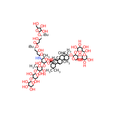 CC[C@H](C)[C@H](C[C@H](O)CC(=O)N[C@@H]1C(O)C(O[C@@H]2OC(C)[C@H](O[C@@H]3OC[C@@H](O)C(O[C@@H]4OC[C@@H](O)C(O)C4O)C3O)C(O)C2O)[C@H](OC(=O)[C@]23CCC(C)(C)CC2C2=CCC4C5(C)CC[C@H](O[C@@H]6OC[C@@H](O)[C@H](O[C@@H]7OC[C@@H](O)[C@H](O)C7O)C6O[C@@H]6OC(CO)[C@H](O)[C@H](O)C6O)C(C)(C=O)[C@@H]5CCC4(C)C2(C)C[C@H]3O)O[C@@H]1C)OC(=O)C[C@@H](O)C[C@H](O[C@@H]1OC(CO)C(O)C1O)[C@@H](C)CC